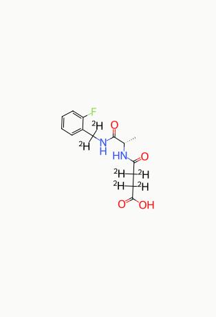 [2H]C([2H])(NC(=O)[C@H](C)NC(=O)C([2H])([2H])C([2H])([2H])C(=O)O)c1ccccc1F